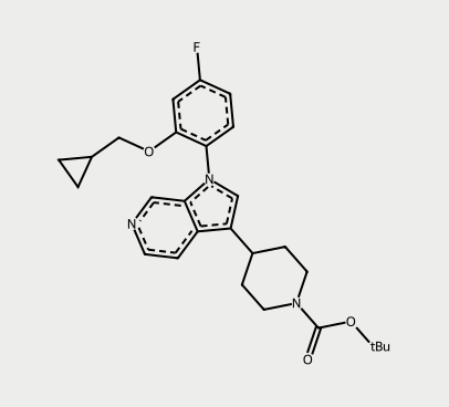 CC(C)(C)OC(=O)N1CCC(c2cn(-c3ccc(F)cc3OCC3CC3)c3cnccc23)CC1